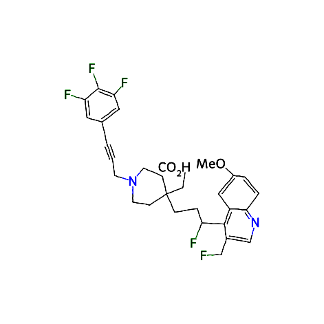 COc1ccc2ncc(CF)c(C(F)CCC3(CC(=O)O)CCN(CC#Cc4cc(F)c(F)c(F)c4)CC3)c2c1